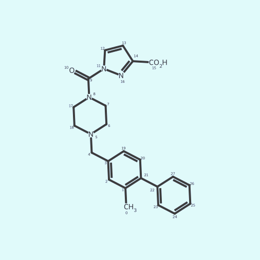 Cc1cc(CN2CCN(C(=O)n3ccc(C(=O)O)n3)CC2)ccc1-c1ccccc1